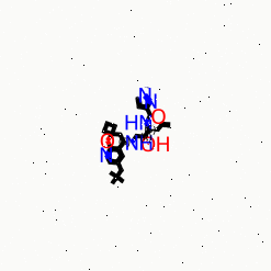 C=CC[C@H](NC(=O)c1ccn(C)n1)[C@H](O)CN[C@H]1CC2(CCC2)Oc2ncc(CC(C)(C)C)cc21